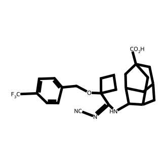 N#C/N=C(/NC1C2CC3CC1CC(C(=O)O)(C3)C2)C1(OCc2ccc(C(F)(F)F)cc2)CCC1